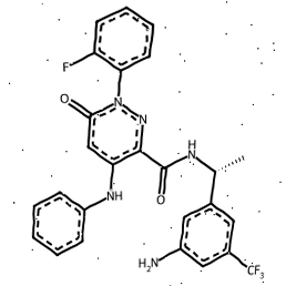 C[C@@H](NC(=O)c1nn(-c2ccccc2F)c(=O)cc1Nc1ccccc1)c1cc(N)cc(C(F)(F)F)c1